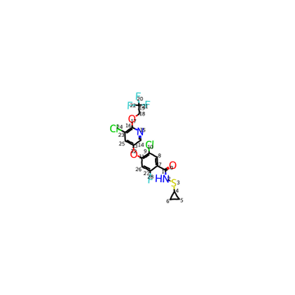 O=C(NSC1CC1)c1cc(Cl)c(Oc2cnc(OCC(F)(F)F)c(Cl)c2)cc1F